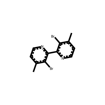 Cc1ccnc(-c2nccc(C)c2Br)c1Br